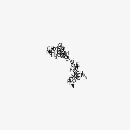 Cc1ncsc1-c1ccc(CNC(=O)[C@@H]2CCCN2C(=O)[C@@H](NC(=O)COCC(F)CCOc2ccc(-c3ncc(N4C(=S)N(c5ccc(C#N)c(C(F)(F)F)c5F)C(=O)C4(C)C)cc3F)c(C(F)(F)F)c2)C(C)(C)C)cc1